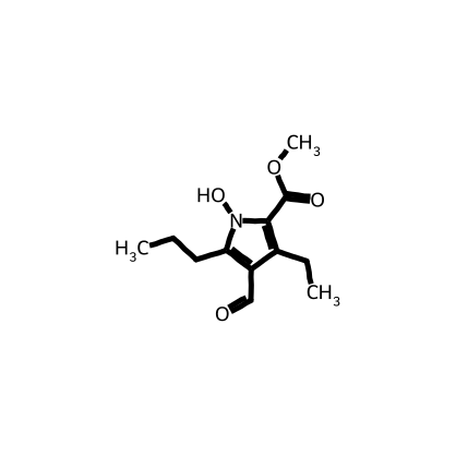 CCCc1c(C=O)c(CC)c(C(=O)OC)n1O